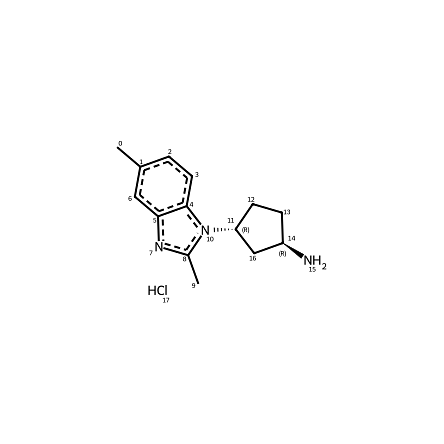 Cc1ccc2c(c1)nc(C)n2[C@@H]1CC[C@@H](N)C1.Cl